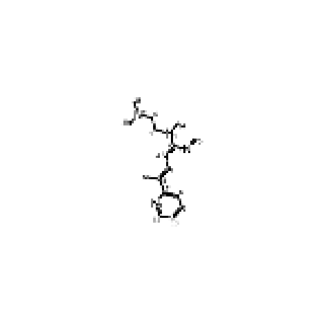 C=N/C(=N\C=C(/C)c1ccccn1)N(C)CCN(C)C